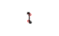 O=C(CCCCCCCCC(=O)c1[c]cccc1)c1[c]cccc1